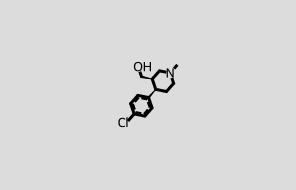 CN1CC[C@@H](c2ccc(Cl)cc2)[C@@H](CO)C1